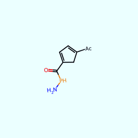 CC(=O)C1=CC=C(C(=O)PN)C1